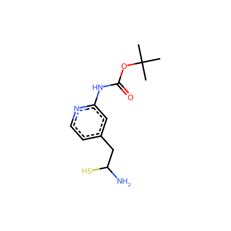 CC(C)(C)OC(=O)Nc1cc(CC(N)S)ccn1